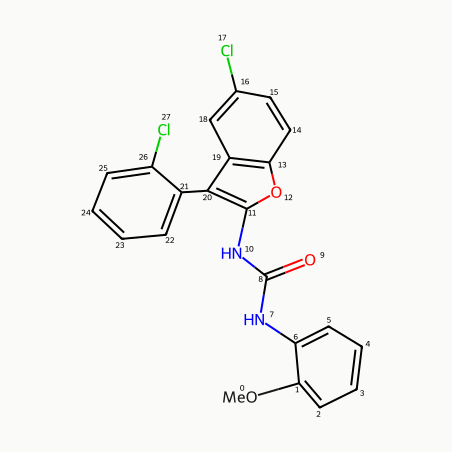 COc1ccccc1NC(=O)Nc1oc2ccc(Cl)cc2c1-c1ccccc1Cl